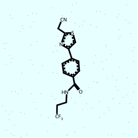 N#CCc1nc(-c2ccc(C(=O)NCCC(F)(F)F)cc2)cs1